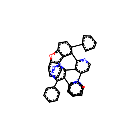 c1ccc(-c2ccnc(-c3c(-c4ccccc4)ccc4oc5ccccc5c34)c2-c2nnnc(-c3ccccc3)c2-c2ccccn2)cc1